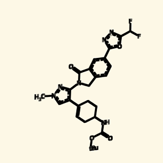 Cn1cc(C2=CCC(NC(=O)OC(C)(C)C)CC2)c(N2Cc3ccc(-c4nnc(C(F)F)o4)cc3C2=O)n1